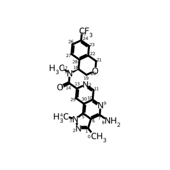 Cc1nn(C)c2c1c(N)nc1cnc(C(=O)N(C)[C@@H]3COCc4cc(C(F)(F)F)ccc43)cc12